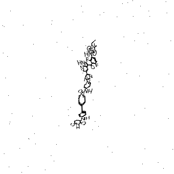 CCN(C)S(=O)(=O)Nc1ccc(F)c(C(=O)c2c[nH]c3ncc(-c4cnc(N5CCC(NC(=O)N6CCC(c7ccc(NC8CCC(=O)NC8=O)cc7)CC6)CC5)nc4)cc23)c1F